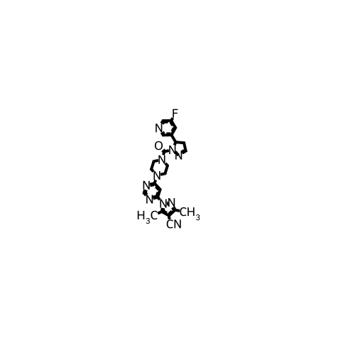 Cc1nn(-c2cc(N3CCN(C(=O)N4N=CCC4c4cncc(F)c4)CC3)ncn2)c(C)c1C#N